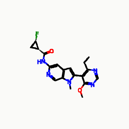 CCc1ncnc(OC)c1-c1cc2cc(NC(=O)[C@@H]3C[C@@H]3F)ncc2n1C